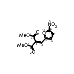 COC(=O)C(=Cc1ccc([N+](=O)[O-])o1)C(=O)OC